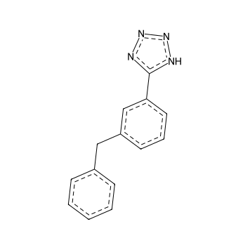 c1ccc(Cc2cccc(-c3nnn[nH]3)c2)cc1